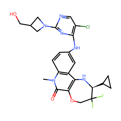 Cn1c(=O)c2c(c3cc(Nc4nc(N5CC(CO)C5)ncc4Cl)ccc31)N[C@@H](C1CC1)C(F)(F)CO2